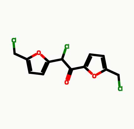 O=C(c1ccc(CCl)o1)C(Cl)c1ccc(CCl)o1